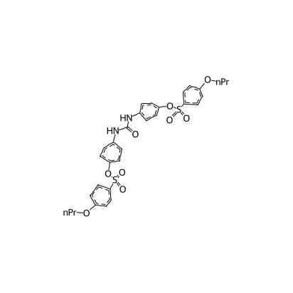 CCCOc1ccc(S(=O)(=O)Oc2ccc(NC(=O)Nc3ccc(OS(=O)(=O)c4ccc(OCCC)cc4)cc3)cc2)cc1